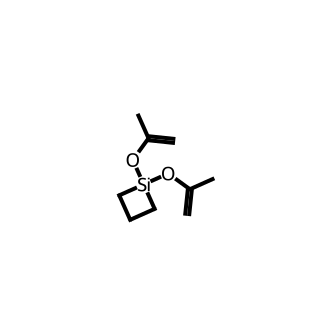 C=C(C)O[Si]1(OC(=C)C)CCC1